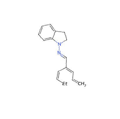 C=C/C=C(C=NN1CCc2ccccc21)\C=C/CC